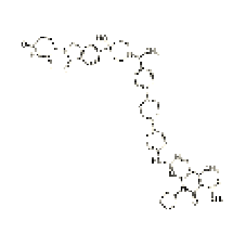 CC(=O)c1c(C)c2cnc(Nc3ccc(N4CCN(c5ccc([C@H](C)N6CCC(O)(c7ccc8c(c7)CN(C7CCC(=O)NC7=O)C8=O)CC6)cc5)CC4)cn3)nc2n(C2CCCC2)c1=O